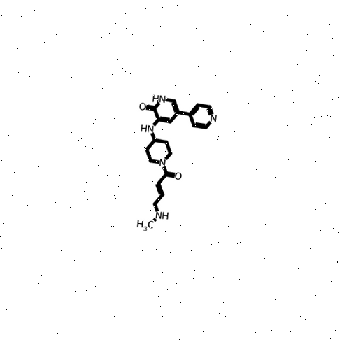 CNC/C=C/C(=O)N1CCC(Nc2cc(-c3ccncc3)c[nH]c2=O)CC1